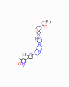 CCc1nc(N2CCN3CCN(c4cnc(N5CC6(CN(C(=O)OC(C)(C)C)CCO6)C5)nc4)CC3C2)ccc1-c1cc(C)c(=O)n(C)c1